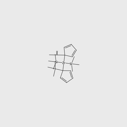 CC(C)(C)[C]1([Zr]([C]2(C(C)(C)C)C=CC=C2)([Si](C)(C)C)[Si](C)(C)C)C=CC=C1